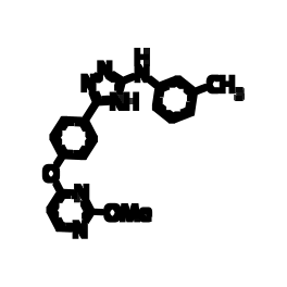 COc1nccc(Oc2ccc(-c3nnc(Nc4cccc(C)c4)[nH]3)cc2)n1